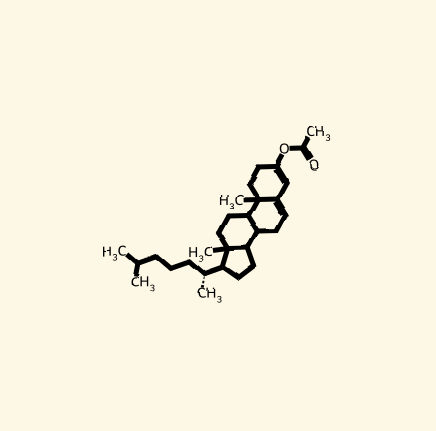 CC(=O)OC1=CC2=CCC3C(CCC4(C)C3CCC4[C@H](C)CCCC(C)C)C2(C)CC1